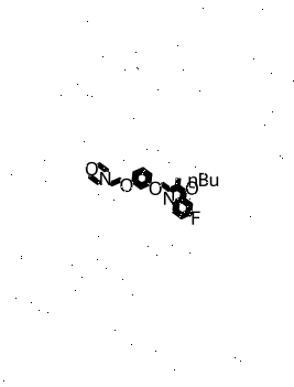 CCCCOc1c(C)c(COc2cccc(OCCN3CCOCC3)c2)nc2ccc(F)cc12